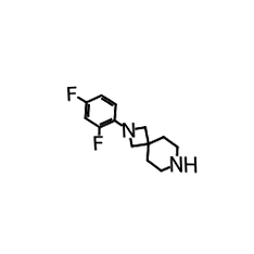 Fc1ccc(N2CC3(CCNCC3)C2)c(F)c1